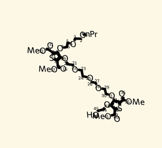 CCCOCCOCCOc1c(C(=O)OC)sc(C(=O)OC)c1OCCOCCOCCOCCOc1c(C(=O)OC)sc(C(=O)OC)c1OCCO